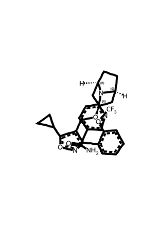 NC(=O)c1ccc(N2[C@@H]3CC[C@H]2C[C@@H](OCc2c(-c4ccccc4OC(F)(F)F)noc2C2CC2)C3)nc1